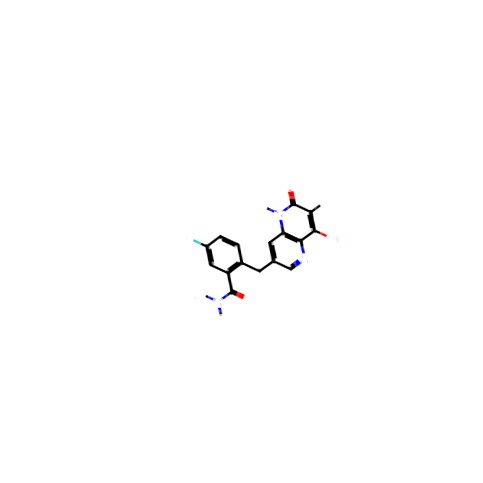 CCN(C)C(=O)c1cc(F)ccc1Cc1cnc2c(O)c(C(=O)O)c(=O)n(C)c2c1